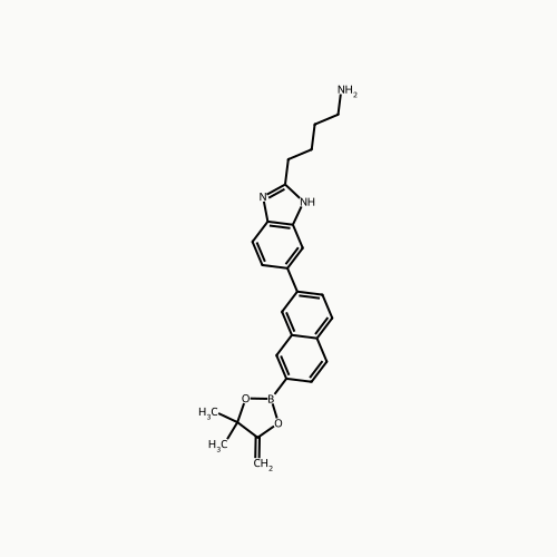 C=C1OB(c2ccc3ccc(-c4ccc5nc(CCCCN)[nH]c5c4)cc3c2)OC1(C)C